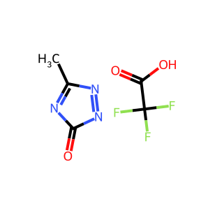 CC1=NC(=O)N=N1.O=C(O)C(F)(F)F